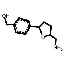 NCC1CCC(c2ccc(CO)cc2)O1